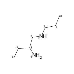 [CH2]CCNCC(N)CC